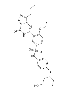 CCCc1nc(C)c2c(=O)[nH]c(-c3cc(S(=O)(=O)Nc4ccc(CN(CC)CCO)cc4)ccc3OCC)nn12